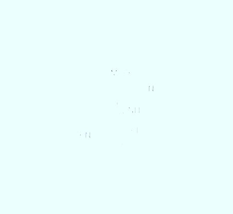 COc1cncc(NC(=O)c2cc([N+](=O)[O-])ccc2Cl)c1